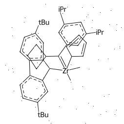 CC(C)c1cc([C](C2CCC2)=[Zr]([CH3])([CH3])([CH]2C=CC=C2)[CH]2c3cc(C(C)(C)C)ccc3-c3ccc(C(C)(C)C)cc32)cc(C(C)C)c1